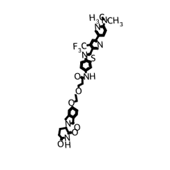 CN(C)c1ccc(-c2cc(C(F)(F)F)c(-c3nc4ccc(NC(=O)CCOCCOc5ccc6c(c5)CN(C5CCC(=O)NC5=O)C6=O)cc4s3)cn2)cn1